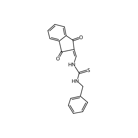 O=C1C(=CNC(=S)NCc2ccccc2)C(=O)c2ccccc21